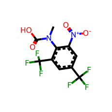 CN(C(=O)O)c1c([N+](=O)[O-])cc(C(F)(F)F)cc1C(F)(F)F